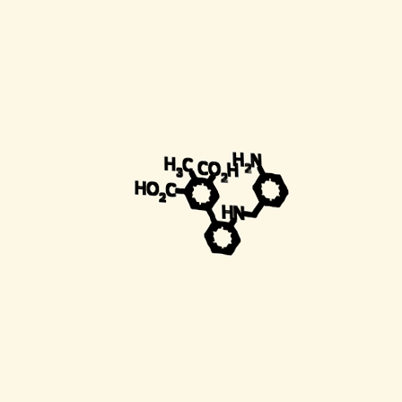 Cc1c(C(=O)O)cc(-c2ccccc2NCc2cccc(N)c2)cc1C(=O)O